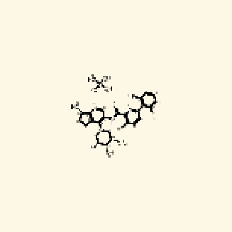 C[C@H]1CN(c2c(NC(=O)c3nc(-c4c(F)cccc4F)ccc3F)cnc3c2CC[C@H]3O)C[C@@H](N)[C@@H]1O.O=P(O)(O)O